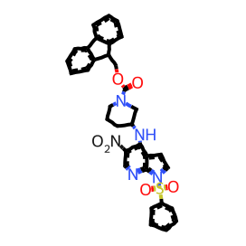 O=C(OCC1c2ccccc2-c2ccccc21)N1CCCC(Nc2c([N+](=O)[O-])cnc3c2ccn3S(=O)(=O)c2ccccc2)C1